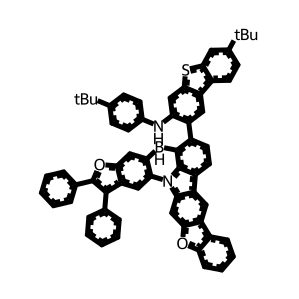 CC(C)(C)c1ccc(Nc2cc3sc4cc(C(C)(C)C)ccc4c3cc2-c2ccc3c4cc5c(cc4n4c3c2Bc2cc3oc(-c6ccccc6)c(-c6ccccc6)c3cc2-4)oc2ccccc25)cc1